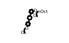 CCCCCCCCC(Oc1cccc(C2=CCC(c3ccc(OCC4CO4)cc3)CC2)c1)C1CO1